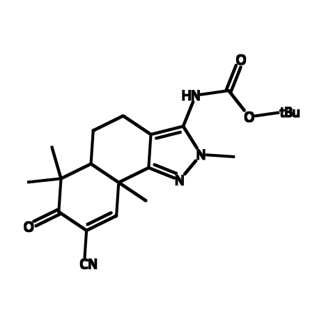 Cn1nc2c(c1NC(=O)OC(C)(C)C)CCC1C(C)(C)C(=O)C(C#N)=CC21C